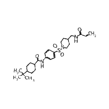 C=CC(=O)NCC1CCN(S(=O)(=O)c2ccc(NC(=O)C3CCC(C(C)(C)C)CC3)cc2)CC1